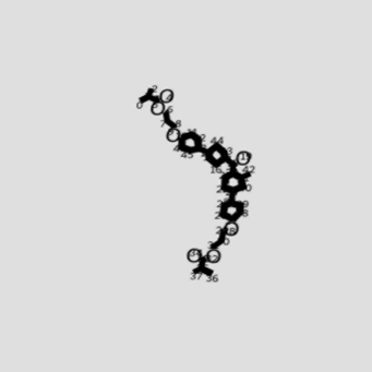 C=C(C)C(=O)OCCCOc1ccc(-c2ccc(C(=O)c3ccc(-c4ccc(OCCCOC(=O)C(=C)C)cc4)cc3C)cc2)cc1